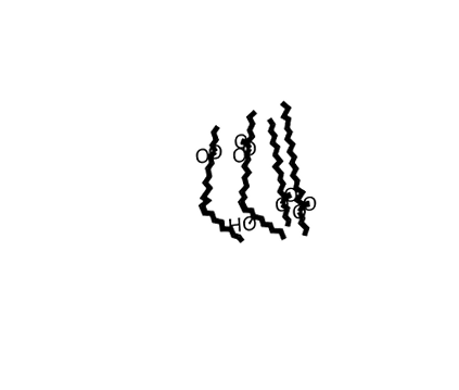 CCCCCCCC/C=C\CCCCCCCC(=O)OCCCC.CCCCCCCCCCCCCC(=O)OCCCC.CCCCCCCCCCCCCCCCCC(=O)OCCCC.CCCCCC[C@@H](O)C/C=C\CCCCCCCC(=O)OC(=O)CCCCC